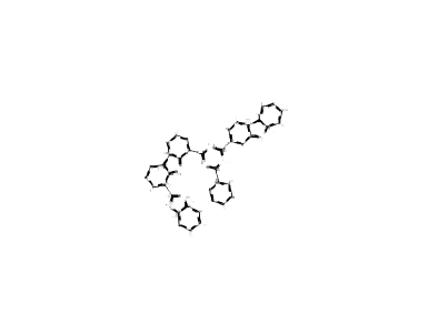 c1ccc(-c2nc(-c3ccc4c(c3)sc3ccccc34)nc(-c3cccc4c3oc3c(-c5nc6ccccc6o5)cccc34)n2)cc1